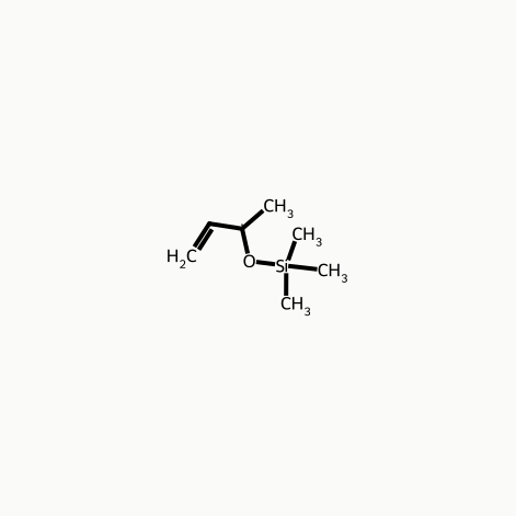 C=C[C](C)O[Si](C)(C)C